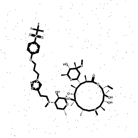 CC[C@H]1OC(=O)[C@H](C)[C@@H](C2C[C@@](C)(OC)[C@@H](O)[C@H](C)O2)[C@H](C)[C@@H](O[C@@H]2O[C@H](C)C[C@H](N(C)CCc3cn(CCCOc4ccc(S(=O)(=O)C(F)(F)F)cc4)nn3)[C@H]2O)[C@](C)(O)C[C@@H](C)CN(C)[C@H](C)[C@@H](O)[C@]1(C)O